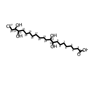 O=C(O)CCCCCCCC(O)C(O)CCCCCCCCC(O)C(O)CCl